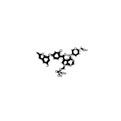 Cc1cc2cc(F)cc(Oc3ccc(C(=O)c4cn(COP(=O)(O)O)c5ncnc(N[C@@H]6CC[C@@H](CO)OC6)c45)c(Cl)c3)c2o1